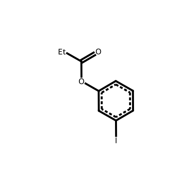 CCC(=O)Oc1cccc(I)c1